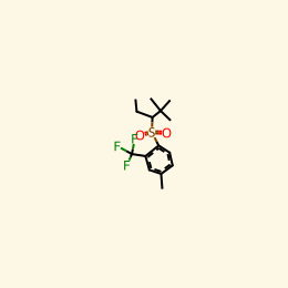 CCC(C(C)(C)C)S(=O)(=O)c1ccc(C)cc1C(F)(F)F